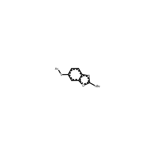 CCCCc1nc2ccc(SC(C)=O)cc2o1